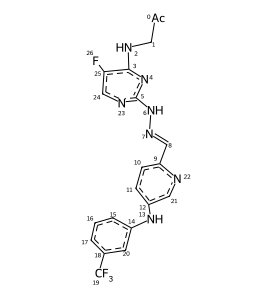 CC(=O)CNc1nc(N/N=C/c2ccc(Nc3cccc(C(F)(F)F)c3)cn2)ncc1F